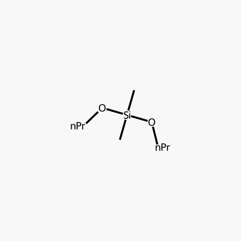 CCCO[Si](C)(C)OCCC